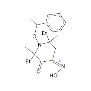 CCC1(C)C/C(=N/O)C(=O)C(C)(CC)N1OC(C)c1ccccc1